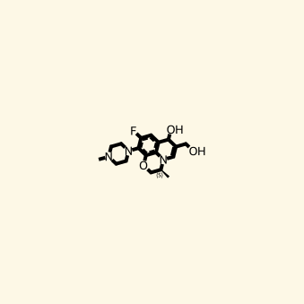 C[C@H]1COc2c(N3CCN(C)CC3)c(F)cc3c2N1C=C(CO)C3O